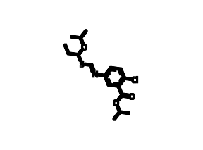 CCC(OC(C)C)S/C=N/c1ccc(Cl)c(C(=O)OC(C)C)c1